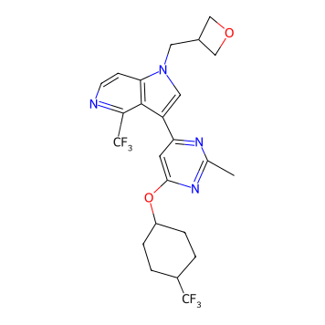 Cc1nc(OC2CCC(C(F)(F)F)CC2)cc(-c2cn(CC3COC3)c3ccnc(C(F)(F)F)c23)n1